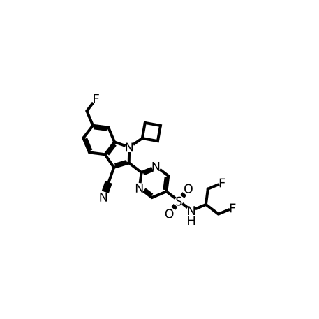 N#Cc1c(-c2ncc(S(=O)(=O)NC(CF)CF)cn2)n(C2CCC2)c2cc(CF)ccc12